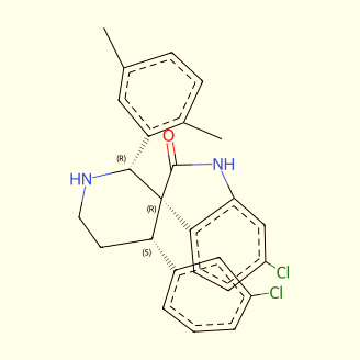 Cc1ccc(C)c([C@H]2NCC[C@@H](c3cccc(Cl)c3)[C@]23C(=O)Nc2cc(Cl)ccc23)c1